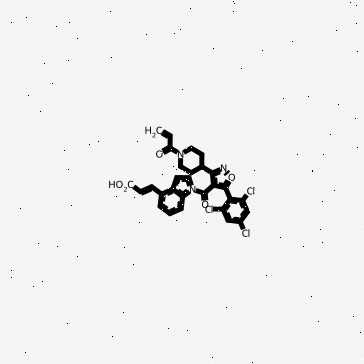 C=CC(=O)N1CCC(c2noc(-c3c(Cl)cc(Cl)cc3Cl)c2C(=O)n2ccc3c(/C=C/C(=O)O)cccc32)CC1